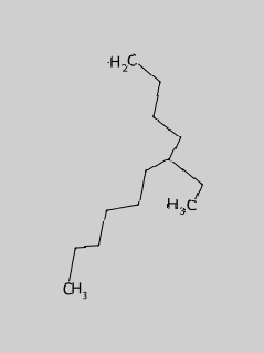 [CH2]CCCC(CC)CCCCCC